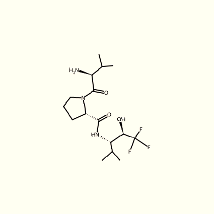 CC(C)[C@H](N)C(=O)N1CCC[C@H]1C(=O)N[C@@H](C(C)C)[C@@H](O)C(F)(F)F